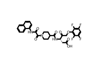 O=C(O)C[C@H](NC(=O)C1CCN(C(=O)C(=O)Nc2cccc3ccccc23)CC1)C(=O)COc1c(F)c(F)cc(F)c1F